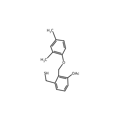 CC(=O)Oc1cccc(CS)c1COc1ccc(C)cc1C